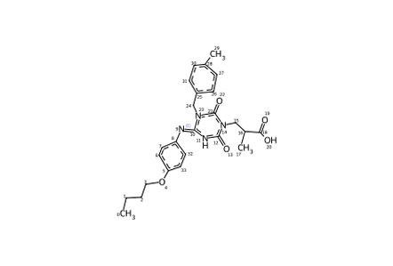 CCCCOc1ccc(/N=c2\[nH]c(=O)n(CC(C)C(=O)O)c(=O)n2Cc2ccc(C)cc2)cc1